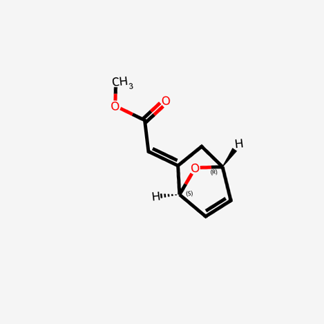 COC(=O)C=C1C[C@@H]2C=C[C@@H]1O2